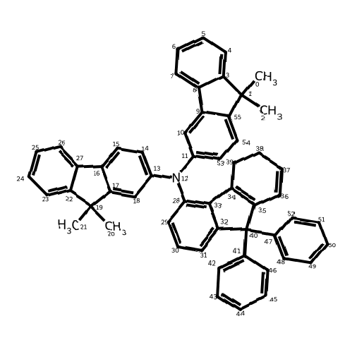 CC1(C)c2ccccc2-c2cc(N(c3ccc4c(c3)C(C)(C)c3ccccc3-4)c3cccc4c3C3=C(C=CCC3)C4(c3ccccc3)c3ccccc3)ccc21